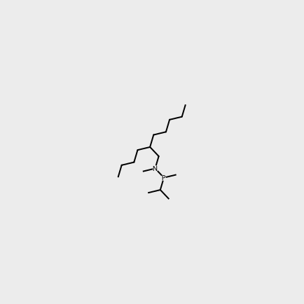 CCCCCC(CCCC)CN(C)P(C)C(C)C